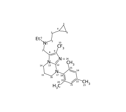 CCN(CCC1CC1)Cc1c(C(F)(F)F)nc2n1CCCN2c1c(C)cc(C)cc1C